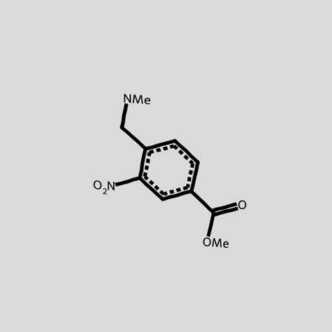 CNCc1ccc(C(=O)OC)cc1[N+](=O)[O-]